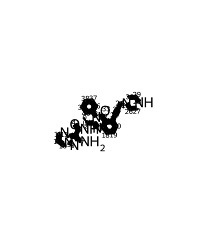 C[C@H](NC(=O)c1c(N)nn2cccnc12)c1nc2cccc(C#CCN3CCNCC3)c2c(=O)n1-c1ccccc1